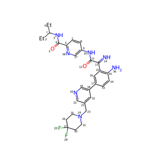 CCC(CC)NC(=O)c1ccc(NC(=O)C(=N)c2cc(-c3cncc(CN4CCC(F)(F)CC4)c3)ccc2N)cn1